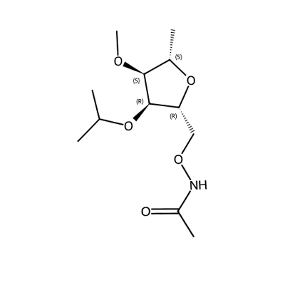 CO[C@@H]1[C@H](OC(C)C)[C@@H](CONC(C)=O)O[C@H]1C